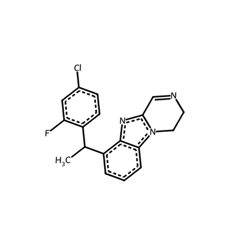 CC(c1ccc(Cl)cc1F)c1cccc2c1nc1n2CCN=C1